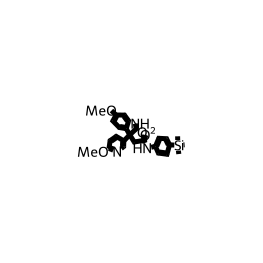 COc1ccc(C(CC(=O)Nc2ccc([Si](C)(C)C)cc2)(C(N)=O)c2ccc(OC)nc2)cc1